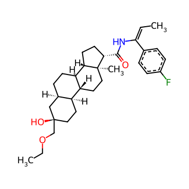 C/C=C(/NC(=O)[C@H]1CC[C@H]2[C@@H]3CC[C@@H]4C[C@@](O)(COCC)CC[C@@H]4[C@H]3CC[C@]12C)c1ccc(F)cc1